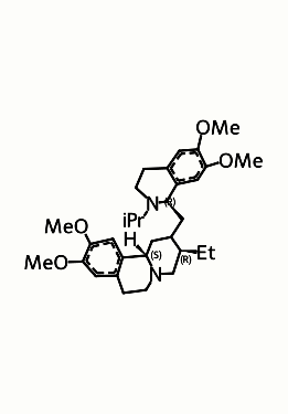 CC[C@H]1CN2CCc3cc(OC)c(OC)cc3[C@@H]2CC1C[C@@H]1c2cc(OC)c(OC)cc2CCN1C(C)C